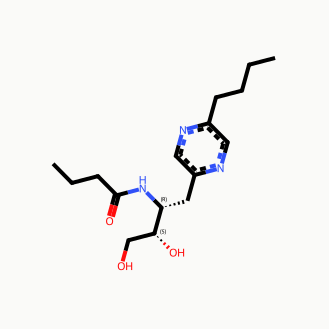 CCCCc1cnc(C[C@@H](NC(=O)CCC)[C@H](O)CO)cn1